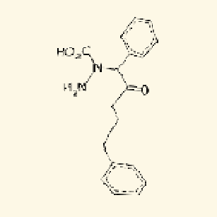 NN(C(=O)O)C(C(=O)CCCc1ccccc1)c1ccccc1